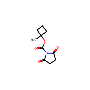 CC1(OC(=O)N2C(=O)CCC2=O)CCC1